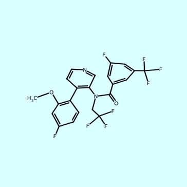 COc1cc(F)ccc1-c1ccncc1N(CC(F)(F)F)C(=O)c1cc(F)cc(C(F)(F)F)c1